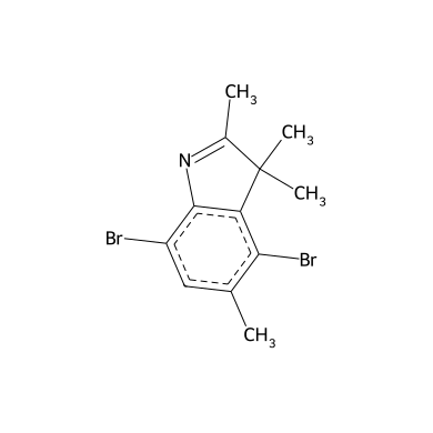 CC1=Nc2c(Br)cc(C)c(Br)c2C1(C)C